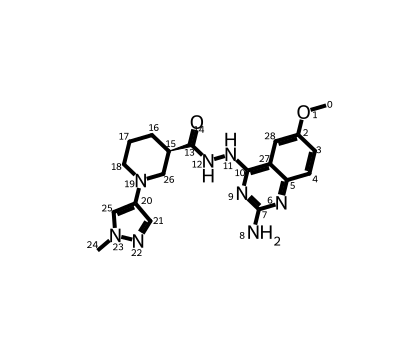 COc1ccc2nc(N)nc(NNC(=O)[C@@H]3CCCN(c4cnn(C)c4)C3)c2c1